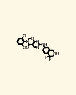 O=C1c2cnc(Nc3ccc4c(c3)CNCC4(F)F)nc2OCN1c1c(Cl)cccc1Cl